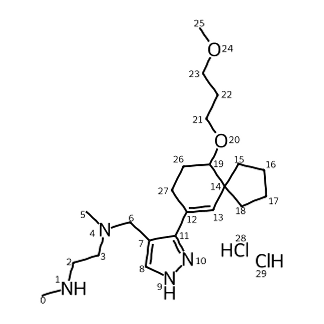 CNCCN(C)Cc1c[nH]nc1C1=CC2(CCCC2)C(OCCCOC)CC1.Cl.Cl